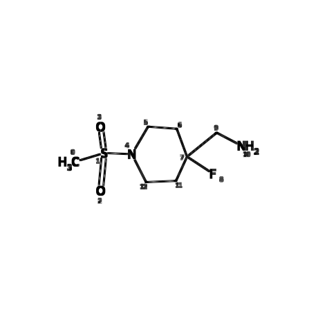 CS(=O)(=O)N1CCC(F)(CN)CC1